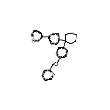 c1ccc(COc2ccc(C3(c4ccc(-c5cccnc5)cc4)CCCCC3)cc2)nc1